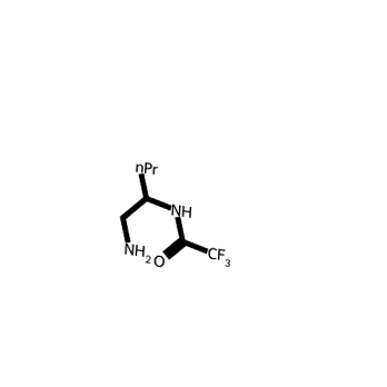 CCCC(CN)NC(=O)C(F)(F)F